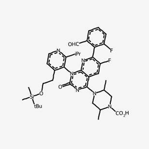 CC(C)c1nccc(CCO[Si](C)(C)C(C)(C)C)c1-n1c(=O)nc(N2CC(C)N(C(=O)O)CC2C)c2cc(F)c(-c3c(F)cccc3C=O)nc21